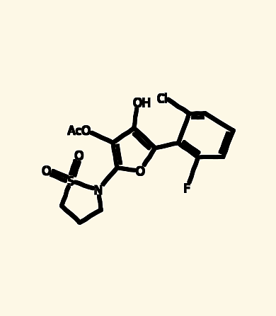 CC(=O)Oc1c(N2CCCS2(=O)=O)oc(-c2c(F)cccc2Cl)c1O